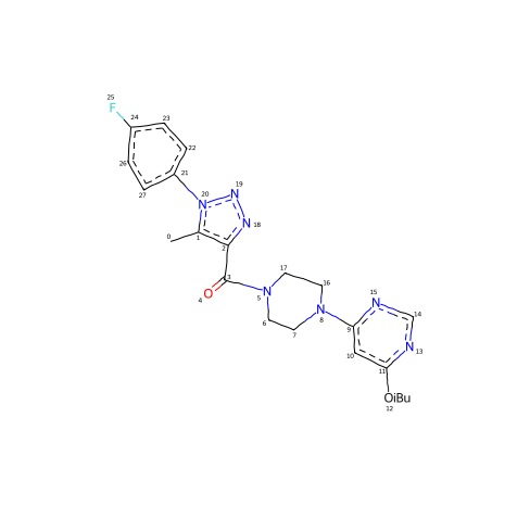 Cc1c(C(=O)N2CCN(c3cc(OCC(C)C)ncn3)CC2)nnn1-c1ccc(F)cc1